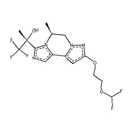 C[C@H]1Cn2nc(OCCOC(F)F)cc2-c2cnc([C@@](C)(O)C(F)(F)F)n21